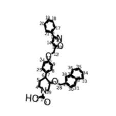 O=C(O)N1CCC(c2ccc(OCc3cc(-c4ccccc4)no3)cc2)C(OCc2ccc3ccccc3c2)C1